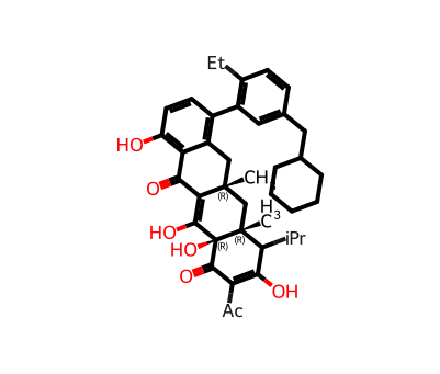 CCc1ccc(CC2CCCCC2)cc1-c1ccc(O)c2c1C[C@]1(C)C[C@]3(C)C(C(C)C)C(O)=C(C(C)=O)C(=O)[C@]3(O)C(O)=C1C2=O